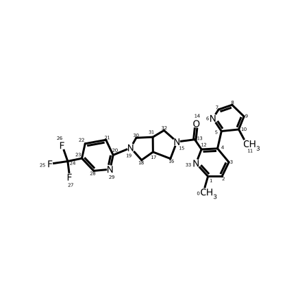 Cc1ccc(-c2ncccc2C)c(C(=O)N2CC3CN(c4ccc(C(F)(F)F)cn4)CC3C2)n1